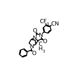 C[C@@]12C(=O)N(c3ccc(C#N)c(C(F)(F)F)c3)C(=O)N1C1CC2N(C(=O)c2ccccc2)C1